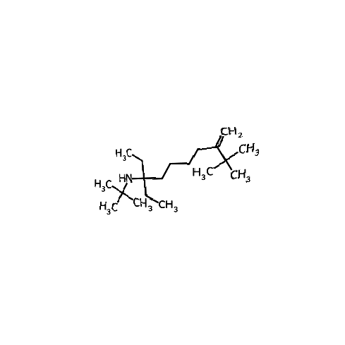 C=C(CCCCC(CC)(CC)NC(C)(C)C)C(C)(C)C